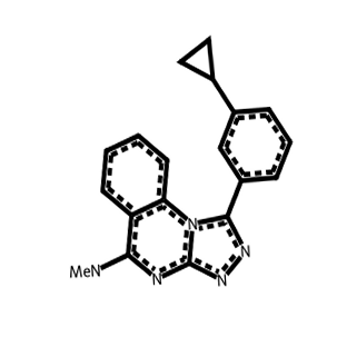 CNc1nc2nnc(-c3cccc(C4CC4)c3)n2c2ccccc12